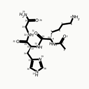 CC(=O)N[C@@H](CCCCN)C(=O)N[C@@H](Cc1c[nH]cn1)C(=O)NCC(N)=O